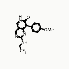 COc1ccc(-c2c(=O)[nH]cc3cnc(NCC(F)(F)F)nc23)cc1